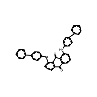 O=C1c2cccc(Nc3ccc(-c4ccccc4)cc3)c2C(=O)c2c(Nc3ccc(-c4ccccc4)cc3)cccc21